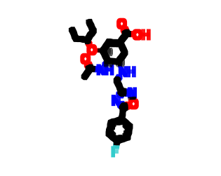 CCC(CC)O[C@@H]1C=C(C(=O)O)C[C@H](NCc2noc(-c3ccc(F)cc3)n2)[C@H]1NC(C)=O